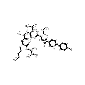 C[C@H](NC(=O)[C@H](CCCCN)NC(=O)[C@H](C)NC(=O)[C@@H](NC(=O)[C@H](CCN)NS(=O)(=O)c1ccc(-c2ccc(Cl)cc2)nc1)[C@@H](C)O)B(O)O